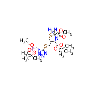 CCOP(=O)(Cn1nnnc1SCC1=C(C(=O)OC(C)(C)C)N2C(=O)[C@](N)(OC)[C@H]2SC1)OC(C)(C)C